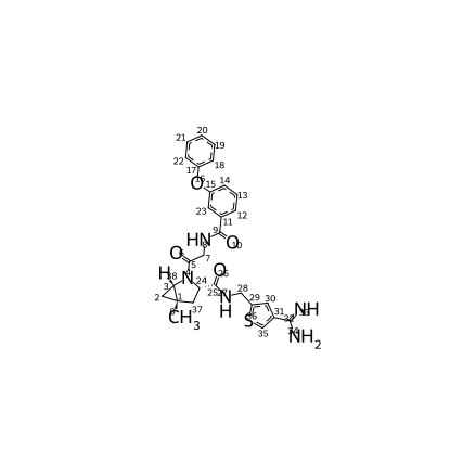 C[C@@]12C[C@@H]1N(C(=O)CNC(=O)c1cccc(Oc3ccccc3)c1)[C@H](C(=O)NCc1cc(C(=N)N)cs1)C2